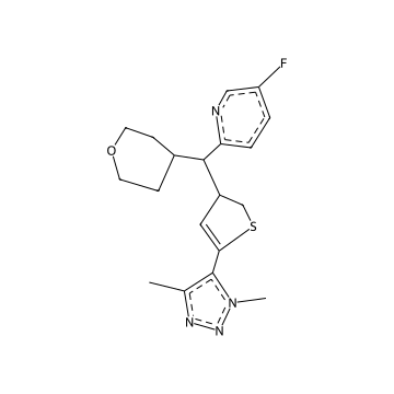 Cc1nnn(C)c1C1=CC(C(c2ccc(F)cn2)C2CCOCC2)CS1